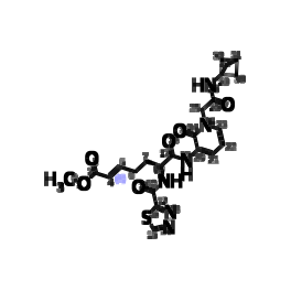 COC(=O)/C=C/CC[C@H](NC(=O)c1nncs1)C(=O)Nc1cccn(CC(=O)NC23CC(C2)C3)c1=O